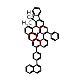 CC1(C)c2ccccc2-c2cccc(-c3ccccc3N(c3ccc(-c4ccc(-c5cccc6ccccc56)cc4)cc3)c3cccc(-c4ccccc4)c3-c3ccccc3-c3ccccc3)c21